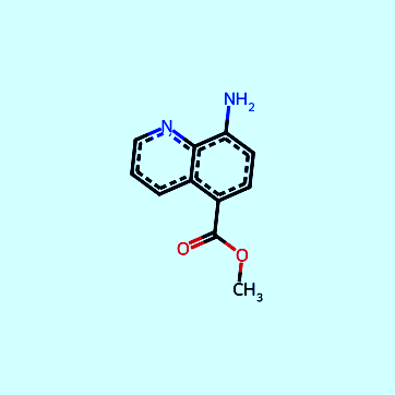 COC(=O)c1ccc(N)c2ncccc12